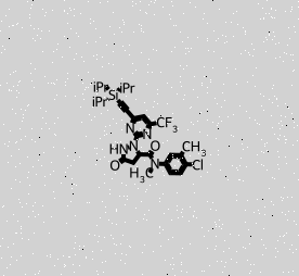 Cc1cc(N(C)C(=O)C2CC(=O)NN2c2nc(C#C[Si](C(C)C)(C(C)C)C(C)C)cc(C(F)(F)F)n2)ccc1Cl